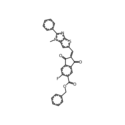 Cn1c(-c2ccccc2)nc2sc(/C=C3\C(=O)c4cc(F)c(C(=O)OCc5ccccc5)cc4C3=O)cc21